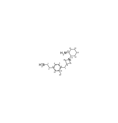 BCCc1ccc(CC2CN(C3CCCCC3N)C2)c(C)c1